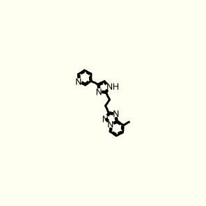 Cc1cccn2nc(CCc3nc(-c4cccnc4)c[nH]3)nc12